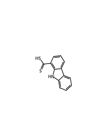 S=C(S)c1cccc2c1[nH]c1ccccc12